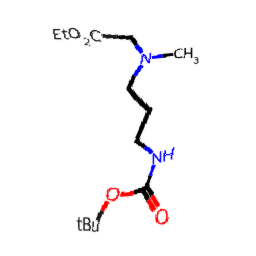 CCOC(=O)CN(C)CCCNC(=O)OC(C)(C)C